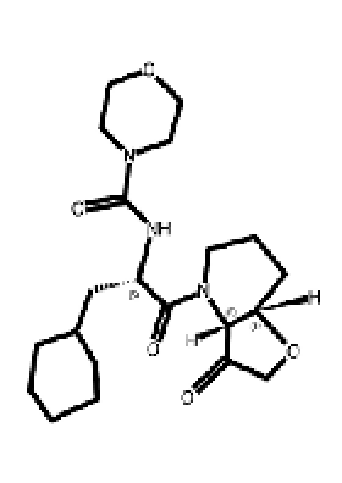 O=C1CO[C@H]2CCCN(C(=O)[C@H](CC3CCCCC3)NC(=O)N3CCOCC3)[C@@H]12